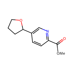 COC(=O)c1ccc(C2CCCO2)cn1